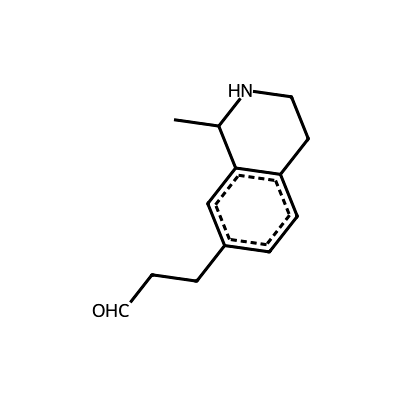 CC1NCCc2ccc(CCC=O)cc21